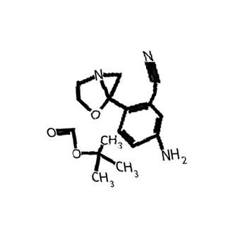 CC(C)(C)OC=O.N#Cc1cc(N)ccc1C12CN1CCO2